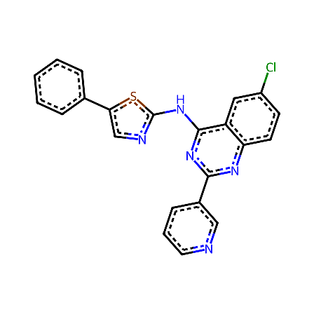 Clc1ccc2nc(-c3cccnc3)nc(Nc3ncc(-c4ccccc4)s3)c2c1